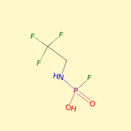 O=P(O)(F)NCC(F)(F)F